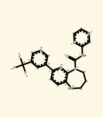 O=C(Nc1cnccn1)N1CCCNc2ccc(-c3cncc(C(F)(F)F)c3)nc21